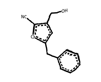 N#Cc1oc(Cc2ccccc2)cc1CO